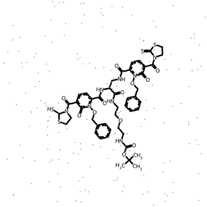 CC(C)(C)OC(=O)NCCOCCNC(=O)C(CNC(=O)c1ccc(C(=O)N2CCSC2=S)c(=O)n1OCc1ccccc1)NC(=O)c1ccc(C(=O)N2CCSC2S)c(=O)n1OCc1ccccc1